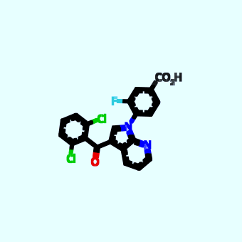 O=C(O)c1ccc(-n2cc(C(=O)c3c(Cl)cccc3Cl)c3cccnc32)c(F)c1